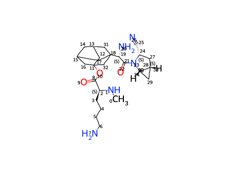 CN[C@@H](CCCCN)C(=O)OC12CC3CC(C1)CC([C@H](N)C(=O)N1[C@H](C#N)C[C@@H]4C[C@@H]41)(C3)C2